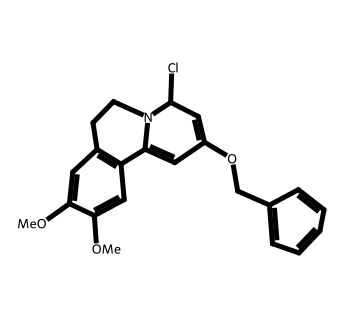 COc1cc2c(cc1OC)C1=CC(OCc3ccccc3)=CC(Cl)N1CC2